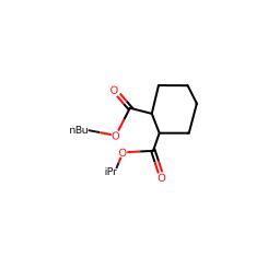 CCCCOC(=O)C1CCCCC1C(=O)OC(C)C